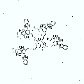 CC(C)(C)c1cc(CCCOC(=O)CC(C(=O)OCCCc2cc(-n3nc4ccccc4n3)c(O)c(C(C)(C)C)c2)C(CC(=O)OCCCc2cc(-n3nc4ccccc4n3)c(O)c(C(C)(C)C)c2)C(=O)OCCCc2cc(-n3nc4ccccc4n3)c(O)c(C(C)(C)C)c2)cc(-n2nc3ccccc3n2)c1O